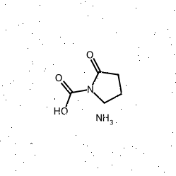 N.O=C(O)N1CCCC1=O